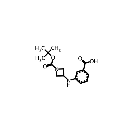 CC(C)(C)OC(=O)N1CC(Nc2cccc(C(=O)O)c2)C1